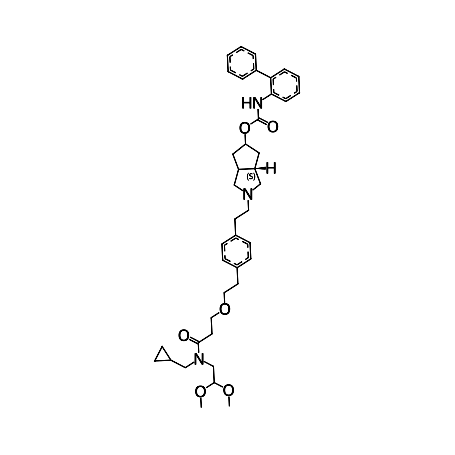 COC(CN(CC1CC1)C(=O)CCOCCc1ccc(CCN2CC3CC(OC(=O)Nc4ccccc4-c4ccccc4)C[C@@H]3C2)cc1)OC